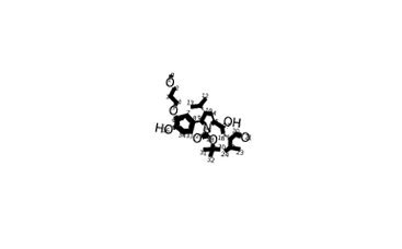 COCCCOc1cc([C@H]2[C@H](C(C)C)C[C@@H]([C@@H](O)C[C@H](C=O)C(C)C)N2C(=O)OC(C)(C)C)ccc1O